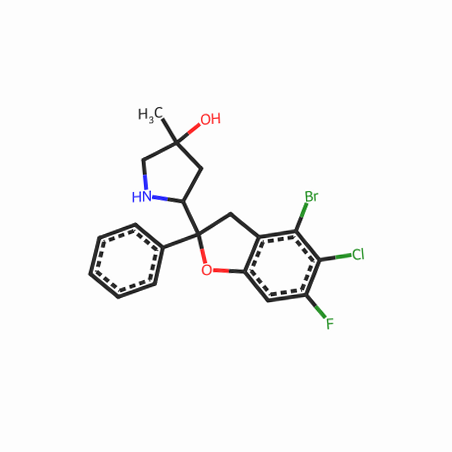 CC1(O)CNC(C2(c3ccccc3)Cc3c(cc(F)c(Cl)c3Br)O2)C1